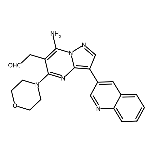 Nc1c(CC=O)c(N2CCOCC2)nc2c(-c3cnc4ccccc4c3)cnn12